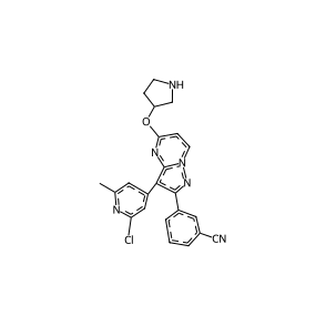 Cc1cc(-c2c(-c3cccc(C#N)c3)nn3ccc(OC4CCNC4)nc23)cc(Cl)n1